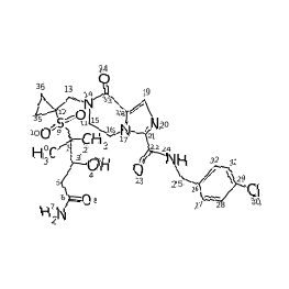 CC(C)(C(O)CC(N)=O)S(=O)(=O)C1(CN2CCn3c(cnc3C(=O)NCc3ccc(Cl)cc3)C2=O)CC1